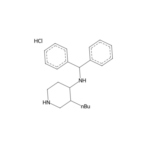 CCCCC1CNCCC1NC(c1ccccc1)c1ccccc1.Cl